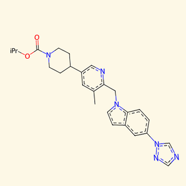 Cc1cc(C2CCN(C(=O)OC(C)C)CC2)cnc1Cn1ccc2cc(-n3cncn3)ccc21